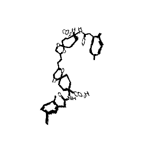 Cc1ccc(C)c(CC(=O)NC2(C(=O)O)CCC3(CC2)OCC(CCC2COC4(CCC(NC(=O)Cc5cc(C)ccc5C)(C(=O)O)CC4)O2)O3)c1